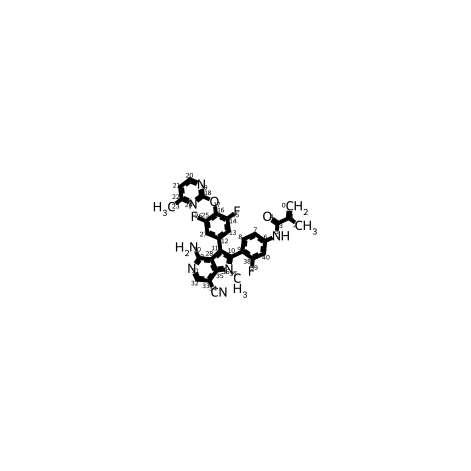 C=C(C)C(=O)Nc1ccc(-c2c(-c3cc(F)c(Oc4nccc(C)n4)c(F)c3)c3c(N)ncc(C#N)c3n2C)c(F)c1